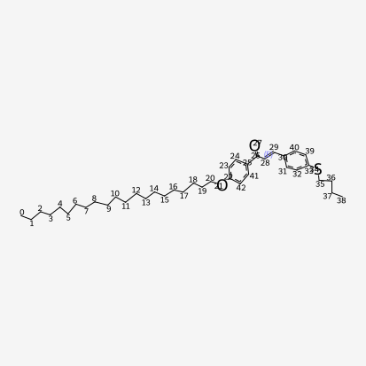 CCCCCCCCCCCCCCCCCCCCCOc1ccc(C(=O)/C=C/c2ccc(SCCCC)cc2)cc1